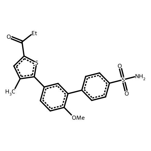 CCC(=O)c1cc(C)c(-c2ccc(OC)c(-c3ccc(S(N)(=O)=O)cc3)c2)s1